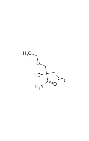 CCOCC(C)(CC)C(N)=O